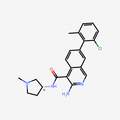 Cc1cccc(Cl)c1-c1ccc2c(C(=O)N[C@@H]3CCN(C)C3)c(N)ncc2c1